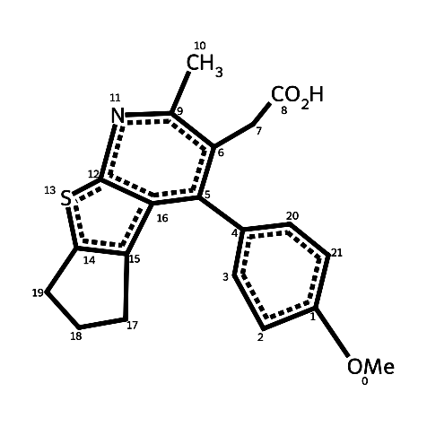 COc1ccc(-c2c(CC(=O)O)c(C)nc3sc4c(c23)CCC4)cc1